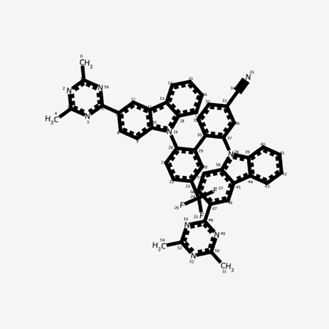 Cc1nc(C)nc(-c2ccc3c(c2)c2ccccc2n3-c2ccc(C(F)(F)F)cc2-c2ccc(C#N)cc2-n2c3ccccc3c3cc(-c4nc(C)nc(C)n4)ccc32)n1